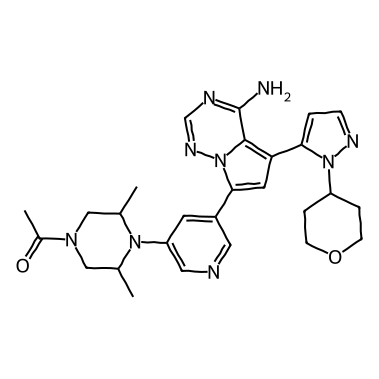 CC(=O)N1CC(C)N(c2cncc(-c3cc(-c4ccnn4C4CCOCC4)c4c(N)ncnn34)c2)C(C)C1